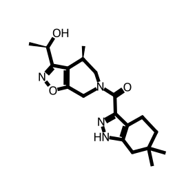 C[C@@H](O)c1noc2c1[C@@H](C)CN(C(=O)c1n[nH]c3c1CCC(C)(C)C3)C2